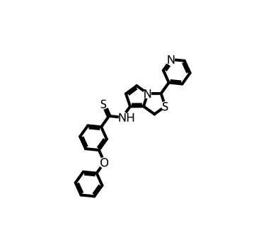 S=C(Nc1ccn2c1CSC2c1cccnc1)c1cccc(Oc2ccccc2)c1